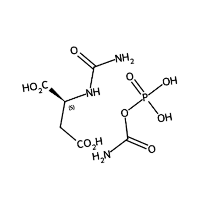 NC(=O)N[C@@H](CC(=O)O)C(=O)O.NC(=O)OP(=O)(O)O